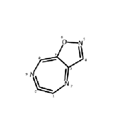 C1=CN=c2cnoc2=CN=1